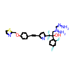 N/N=C\N(N)CC(O)(c1ccc(F)cc1F)C(F)(F)c1ccc(C#Cc2ccc(OCc3nccs3)cc2)cn1